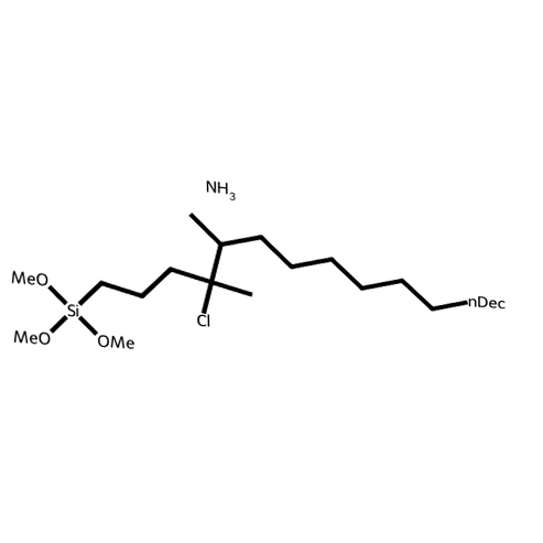 CCCCCCCCCCCCCCCCC(C)C(C)(Cl)CCC[Si](OC)(OC)OC.N